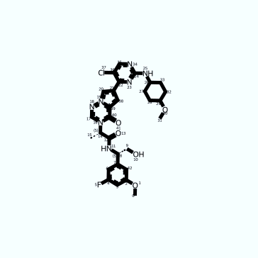 COc1cc(F)cc([C@@H](CO)NC(=O)[C@H](C)n2cnn3cc(-c4nc(NC5CCC(OC)CC5)ncc4Cl)cc3c2=O)c1